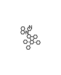 c1ccc(-c2cc(-c3ccccc3)c3c4ccccc4c4cc(N(c5ccncc5)c5cccc6ccccc56)ccc4c3c2-c2ccccc2)cc1